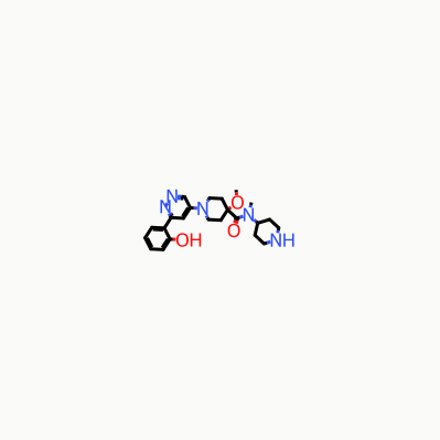 COC1(C(=O)N(C)C2CCNCC2)CCN(c2cnnc(-c3ccccc3O)c2)CC1